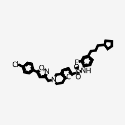 O=S(=O)(Nc1ccc(CCCC2CCCC2)cc1F)c1ccc2c(c1)CCN(Cc1cc(-c3ccc(Cl)cc3)on1)C2